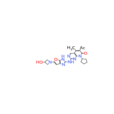 CC(=O)c1c(C)c2cnc(Nc3nc4cc(N5CC(O)C5)oc4[nH]3)nc2n(C2CCCC2)c1=O